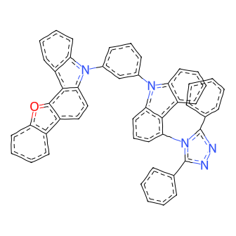 c1ccc(-c2nnc(-c3ccccc3)n2-c2cccc3c2c2ccccc2n3-c2cccc(-n3c4ccccc4c4c5oc6ccccc6c5ccc43)c2)cc1